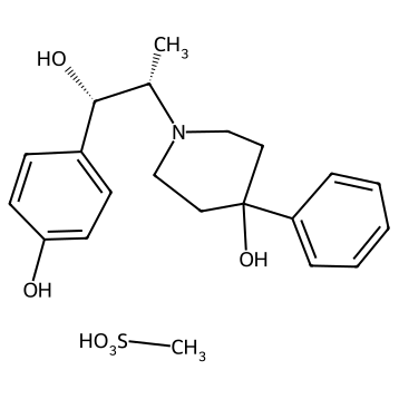 CS(=O)(=O)O.C[C@@H]([C@@H](O)c1ccc(O)cc1)N1CCC(O)(c2ccccc2)CC1